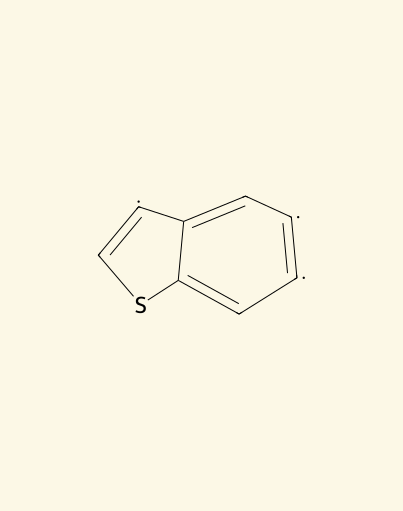 [c]1[c]cc2sc[c]c2c1